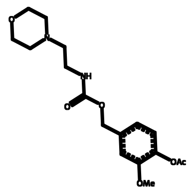 COc1cc(COC(=O)NCCN2CCOCC2)ccc1OC(C)=O